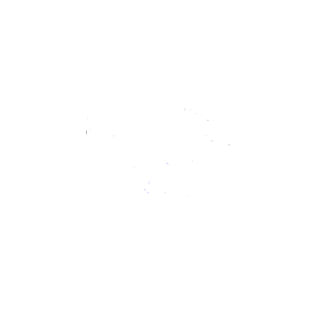 CC(=O)Oc1ccccc1C(=O)Nc1nc(OCc2ccc(F)cc2)ncc1F